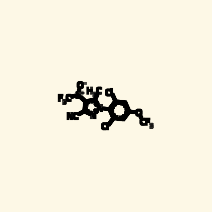 Cc1c([S+]([O-])C(F)(F)F)c(C#N)nn1-c1c(Cl)cc(OC(F)(F)F)cc1Cl